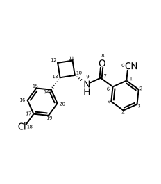 N#Cc1ccccc1C(=O)N[C@H]1CC[C@H]1c1ccc(Cl)cc1